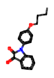 CCCCOc1ccc(N2C(=O)C(=O)c3ccccc32)cc1